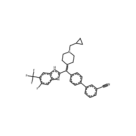 N#Cc1cccc(-c2ccc(C(=C3CCN(CC4CC4)CC3)c3nc4cc(F)c(C(F)(F)F)cc4[nH]3)cc2)c1